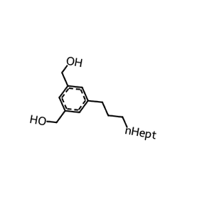 CCCCCCCCCCc1cc(CO)cc(CO)c1